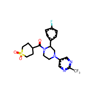 O=C(C1CCS(=O)(=O)CC1)N1CCN(c2cnc(C(F)(F)F)nc2)CC1c1ccc(F)cc1